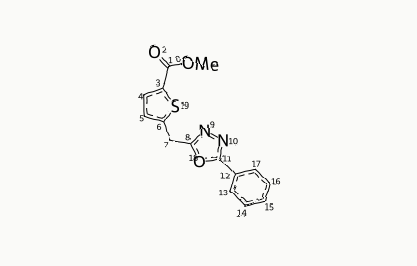 COC(=O)c1ccc(Cc2nnc(-c3ccccc3)o2)s1